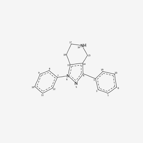 c1ccc(-c2nn(-c3ccccc3)c3c2CNCC3)cc1